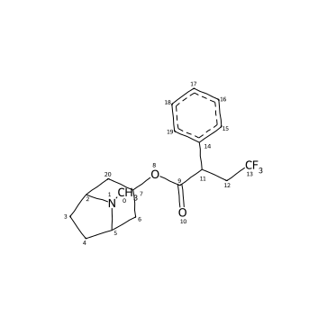 CN1C2CCC1CC(OC(=O)C(CC(F)(F)F)c1ccccc1)C2